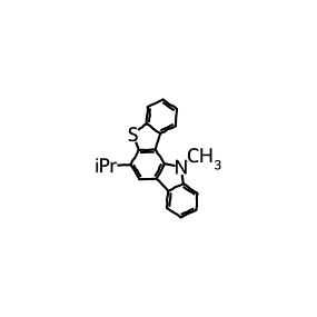 CC(C)c1cc2c3ccccc3n(C)c2c2c1sc1ccccc12